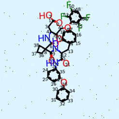 O=C(O)CC(NC(=O)C1(C(=O)NC(Cc2ccccc2)C(=O)Nc2cccc(Oc3ccccc3)c2)CCC1)C(=O)COc1c(F)c(F)cc(F)c1F